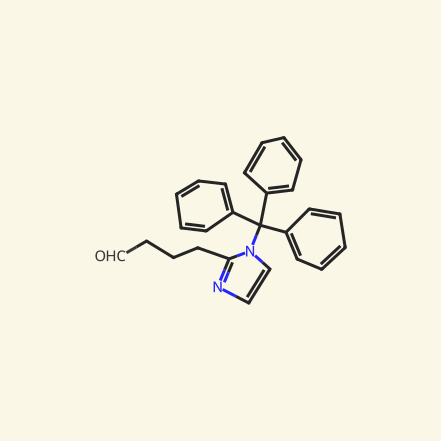 O=CCCCc1nccn1C(c1ccccc1)(c1ccccc1)c1ccccc1